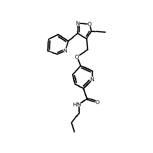 CCCNC(=O)c1ccc(OCc2c(-c3ccccn3)noc2C)cn1